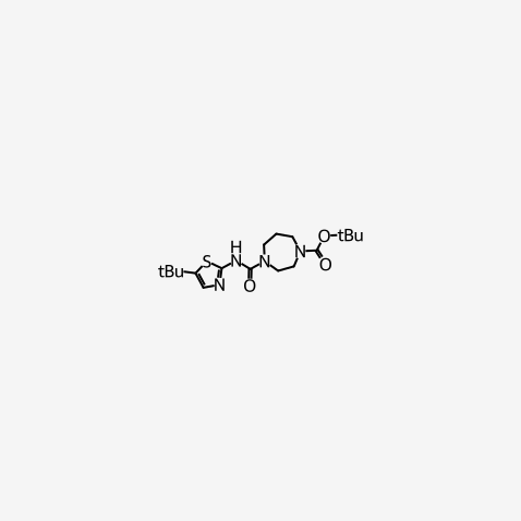 CC(C)(C)OC(=O)N1CCCN(C(=O)Nc2ncc(C(C)(C)C)s2)CC1